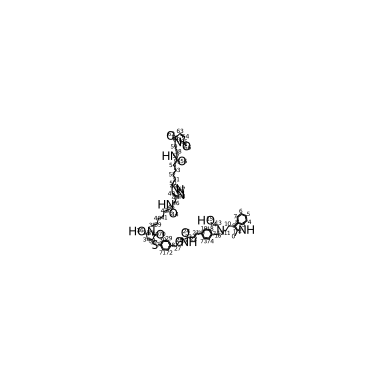 Cc1[nH]c2ccccc2c1CCN(CCO)Cc1ccc(/C=C/C(=O)NOCc2ccc(SC3CC(O)N(CCCCCC(=O)NCc4cn(CCCCCC(=O)NCCN5C(=O)C=CC5=O)nn4)C3=O)cc2)cc1